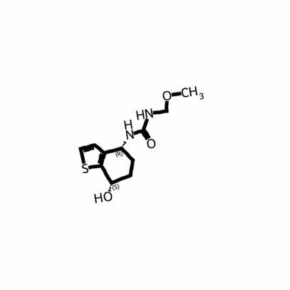 COCNC(=O)N[C@@H]1CC[C@H](O)c2sccc21